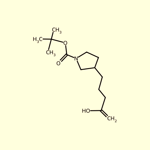 C=C(O)CCCC1CCN(C(=O)OC(C)(C)C)C1